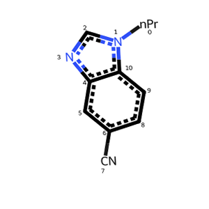 CCCn1cnc2cc(C#N)ccc21